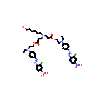 CCN(CCOC(=O)CCN(CCCCCCO)CCC(=O)OCCN(CC)c1ccc(/N=N/c2ccc([N+](=O)[O-])cc2Cl)cc1)c1ccc(/N=N/c2ccc([N+](=O)[O-])cc2Cl)cc1